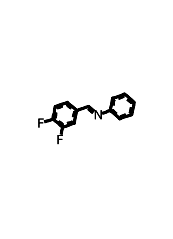 Fc1ccc(C=Nc2ccccc2)cc1F